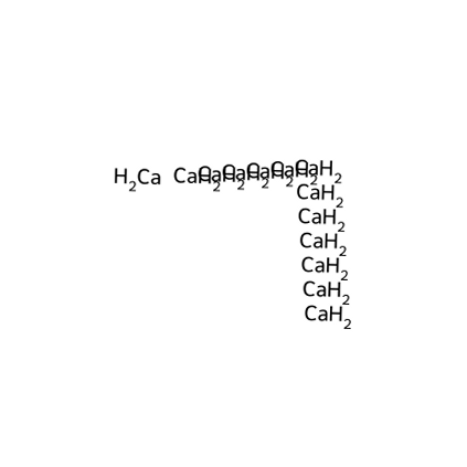 [CaH2].[CaH2].[CaH2].[CaH2].[CaH2].[CaH2].[CaH2].[CaH2].[CaH2].[CaH2].[CaH2].[CaH2].[CaH2]